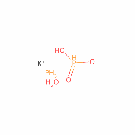 O.O=[PH]([O-])O.P.[K+]